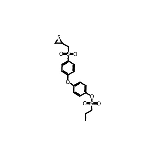 CCCS(=O)(=O)Oc1ccc(Oc2ccc(S(=O)(=O)CC3CS3)cc2)cc1